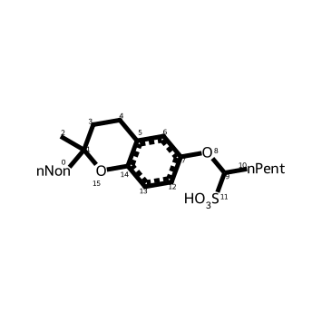 CCCCCCCCCC1(C)CCc2cc(OC(CCCCC)S(=O)(=O)O)ccc2O1